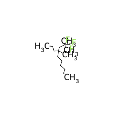 CCCCCCC(C)(CCC)CC(C)(C)C(F)(F)F